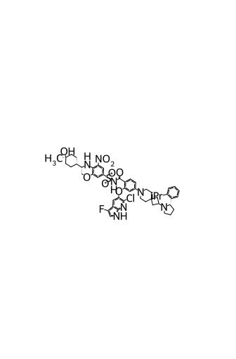 CC(C)c1ccccc1[C@@H]1CCCN1C1CC2(CCN(c3ccc(C(=O)NS(=O)(=O)c4cc5c(c([N+](=O)[O-])c4)N[C@@H]([C@H]4CC[C@](C)(O)CC4)CO5)c(Oc4cc5c(F)c[nH]c5nc4Cl)c3)CC2)C1